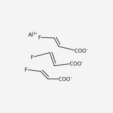 O=C([O-])/C=C/F.O=C([O-])/C=C/F.O=C([O-])/C=C/F.[Al+3]